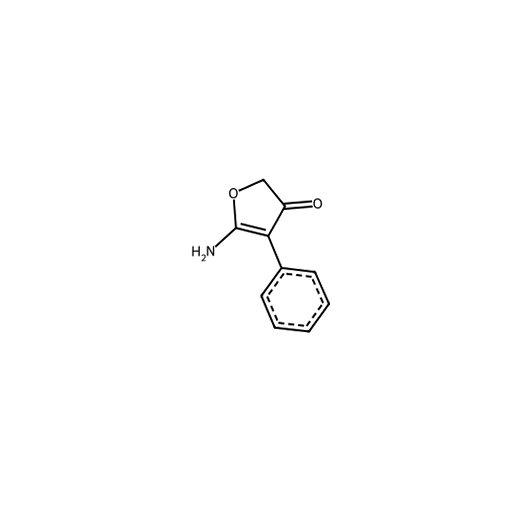 NC1=C(c2ccccc2)C(=O)CO1